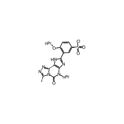 CCCOc1ccc(S(=O)(=O)Cl)cc1-c1nc2c([nH]1)c1nnc(C)n1c(=O)n2CCC